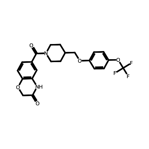 O=C1COc2ccc(C(=O)N3CCC(COc4ccc(OC(F)(F)F)cc4)CC3)cc2N1